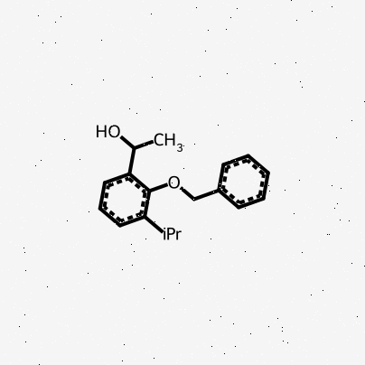 CC(C)c1cccc(C(C)O)c1OCc1ccccc1